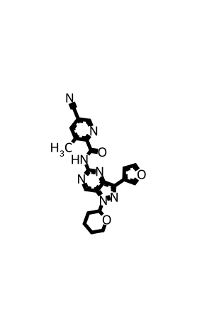 Cc1cc(C#N)cnc1C(=O)Nc1ncc2c(n1)c(-c1ccoc1)nn2C1CCCCO1